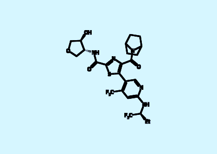 CC[C@H](Nc1cc(C(F)(F)F)c(-c2sc(C(=O)N[C@@H]3COC[C@H]3O)nc2C(=O)N2C3CCC2CC3)cn1)C(F)(F)F